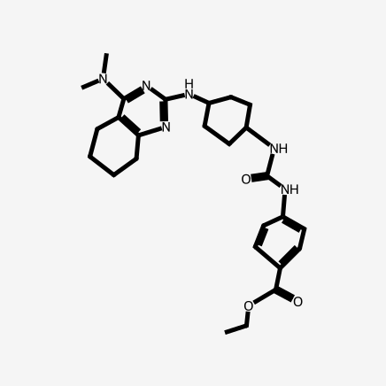 CCOC(=O)c1ccc(NC(=O)NC2CCC(Nc3nc4c(c(N(C)C)n3)CCCC4)CC2)cc1